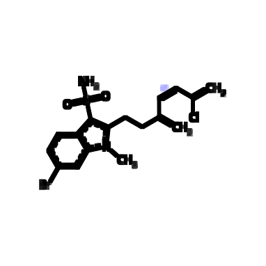 C=C(Cl)/C=C\C(=C)CCc1c(S(N)(=O)=O)c2ccc(Br)cc2n1C